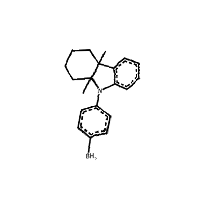 Bc1ccc(N2c3ccccc3C3(C)CCCCC23C)cc1